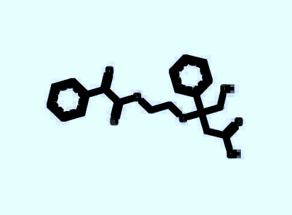 O=C(O)CC([CH]O)(OCCOC(=O)C(=O)c1ccccc1)c1ccccc1